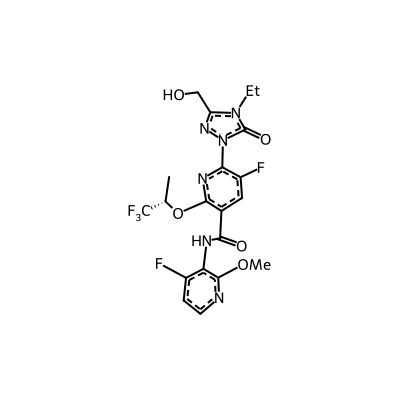 CCn1c(CO)nn(-c2nc(O[C@@H](C)C(F)(F)F)c(C(=O)Nc3c(F)ccnc3OC)cc2F)c1=O